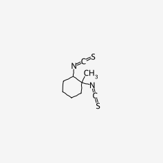 CC1(N=C=S)CCCCC1N=C=S